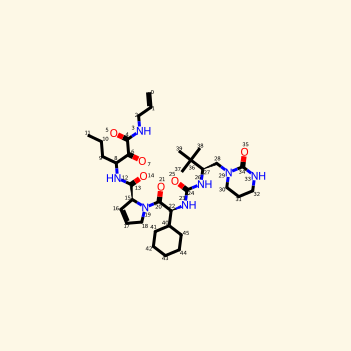 C=CCNC(=O)C(=O)C(CCC)NC(=O)[C@@H]1C=CCN1C(=O)[C@@H](NC(=O)N[C@H](CN1CCCNC1=O)C(C)(C)C)C1CCCCC1